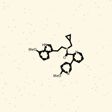 COc1ccc(-c2cccnc2C(=O)N(CCc2c[nH]c3c(OC)cccc23)CC2CC2)cn1